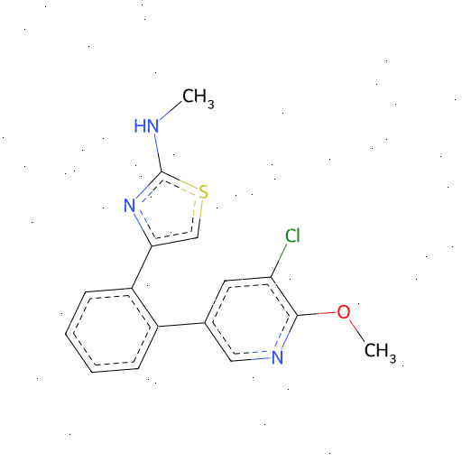 CNc1nc(-c2ccccc2-c2cnc(OC)c(Cl)c2)cs1